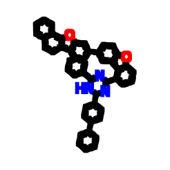 c1ccc(C2=NC(c3cccc4oc5ccc(-c6ccc7c(c6)oc6c8ccccc8ccc76)cc5c34)=NC(c3ccc(-c4ccccc4)cc3)N2)cc1